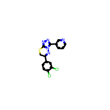 Clc1ccc(C2=Nn3c(nnc3-c3cccnc3)SC2)cc1Cl